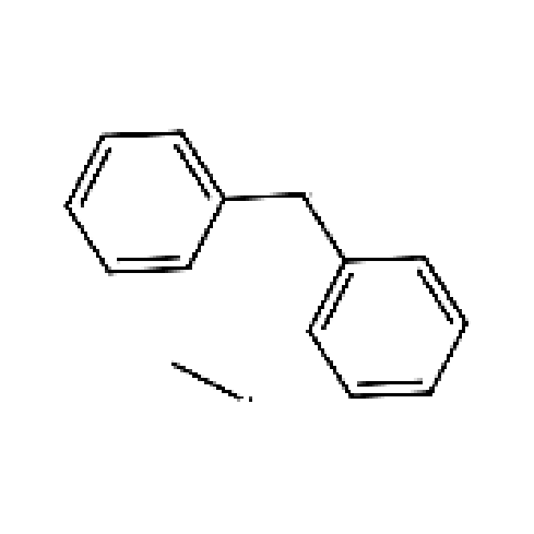 [CH2]C.[CH](c1ccccc1)c1ccccc1